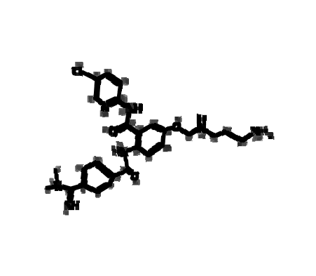 CN(C)C(=N)c1ccc(C(=O)Nc2ccc(OCNCCCN)cc2C(=O)Nc2ccc(Cl)cn2)cc1